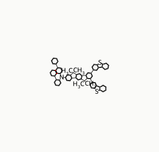 CC1(C)c2cc(N(c3ccc(-c4ccccc4)cc3)c3ccccc3-c3ccccc3)ccc2-c2cc3c(cc21)-c1cc(-c2ccc4sc5ccccc5c4c2)cc(-c2ccc4sc5ccccc5c4c2)c1C3(C)C